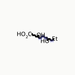 CC/C=C\CC(O)/C=C/C=C\C=C/C(O)CCCCC(=O)O